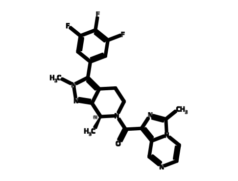 Cc1nc(C(=O)N2CCc3c(nn(C)c3-c3cc(F)c(F)c(F)c3)[C@@H]2C)c2cnccn12